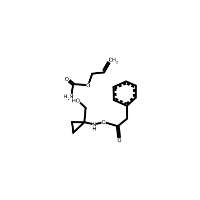 C=CCOC(N)=O.O=C(Cc1ccccc1)ONC1(CO)CC1